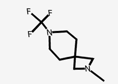 CN1CC2(CCN(C(F)(F)F)CC2)C1